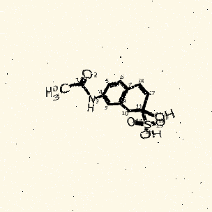 CC(=O)Nc1ccc2c(c1)CC(O)(S(=O)(=O)O)C=C2